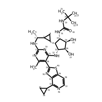 Cc1nc(N[C@H](C)C2CC2)nc(N[C@@H]2C[C@H](NC(=O)NC(C)(C)C)[C@@H](O)[C@H]2O)c1-c1nc2c(C3CC3)nccc2s1